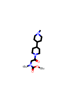 CN1CCC(C2CCN(C(=O)CN(C(=O)OC(C)(C)C)C(C)(C)C)CC2)CC1